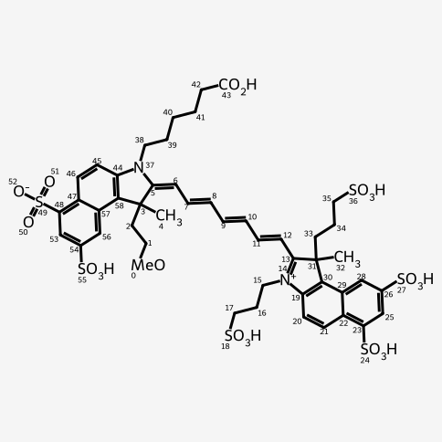 COCCC1(C)\C(=C/C=C/C=C/C=C/C2=[N+](CCCS(=O)(=O)O)c3ccc4c(S(=O)(=O)O)cc(S(=O)(=O)O)cc4c3C2(C)CCCS(=O)(=O)O)N(CCCCCC(=O)O)c2ccc3c(S(=O)(=O)[O-])cc(S(=O)(=O)O)cc3c21